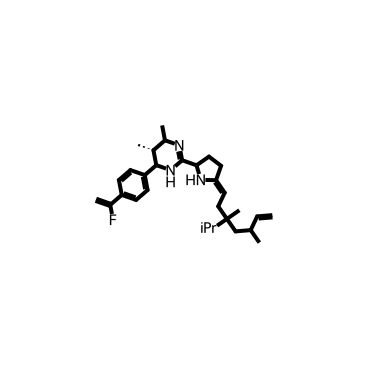 C=CC(C)CC(C)(C/C=C1/CCC(C2=NC(C)[C@@H](C)C(c3ccc(C(=C)F)cc3)N2)N1)C(C)C